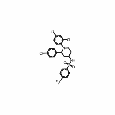 O=S(=O)(NC1CCN(c2ccc(Cl)cc2Cl)C(c2ccc(Cl)cc2)C1)c1ccc(C(F)(F)F)cc1